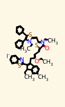 CCOC(=CC=C1SC(C=C2SC(c3ccccc3)=C(c3ccccc3)N2CC)=[N+](CC)C1=O)CC1=C(c2nc3ccccc3s2)C(CC)c2cc(C)ccc21.[I-]